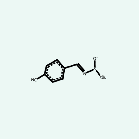 CC(C)(C)[S+]([O-])/N=C/c1ccc(C#N)cc1